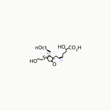 CCCCCCCC/C=C/[C@H]1[C@@H](SCCO)CC(=O)[C@@H]1C/C=C\CCC(O)C(=O)O